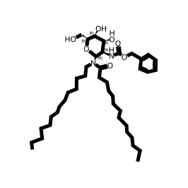 CCCCCCCCCCCCCCN(C(=O)CCCCCCCCCCCCC)[C@@H]1O[C@H](CO)[C@H](O)[C@H](O)[C@H]1NC(=O)OCc1ccccc1